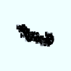 CCS(=O)(=O)c1ccc(OC)c(Nc2nccc(N(C)c3ccc4c(c3)nc(NC(=O)C3(c5cc(F)ccc5F)CC3)n4C)n2)c1